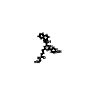 CCCCONC(=O)CCCCC[C@H](NC(=O)c1ccc(O)cc1)c1nc2c(ccc3ccccc32)[nH]1